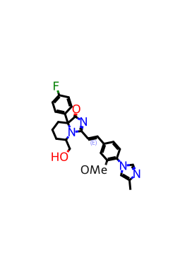 COc1cc(/C=C/C2=NC(=O)C3(c4ccc(F)cc4)CCCC(CO)N23)ccc1-n1cnc(C)c1